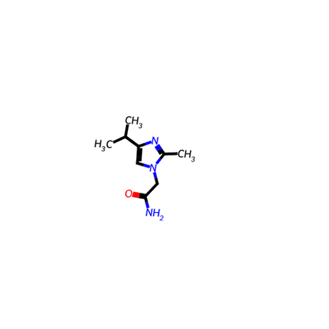 Cc1nc(C(C)C)cn1CC(N)=O